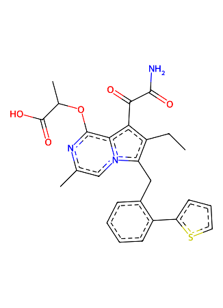 CCc1c(C(=O)C(N)=O)c2c(OC(C)C(=O)O)nc(C)cn2c1Cc1ccccc1-c1cccs1